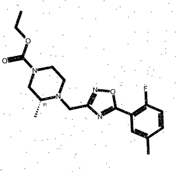 CCOC(=O)N1CCN(Cc2noc(-c3cc(C)ccc3F)n2)[C@H](C)C1